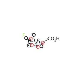 CCc1cc(-c2ccc(F)cc2)c(OCc2ccccc2)cc1OCCCOc1cccc(OCCCCC(=O)O)c1CCC(=O)O